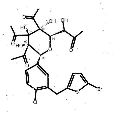 CC(=O)C(O)[C@H]1O[C@@H](c2ccc(Cl)c(Cc3ccc(Br)s3)c2)[C@@](O)(C(C)=O)[C@](O)(C(C)=O)[C@@]1(O)C(C)=O